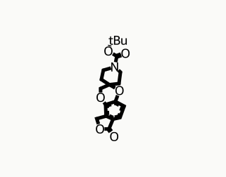 CC(C)(C)OC(=O)N1CCC2(CC1)COc1c(ccc3c1COC3=O)O2